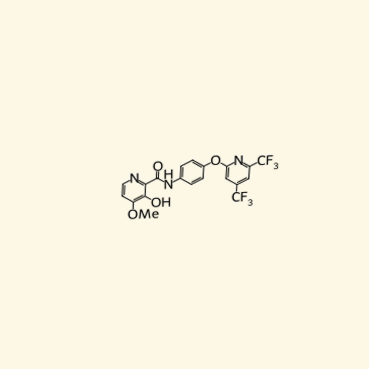 COc1ccnc(C(=O)Nc2ccc(Oc3cc(C(F)(F)F)cc(C(F)(F)F)n3)cc2)c1O